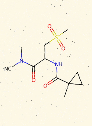 CN(C#N)C(=O)C(CS(C)(=O)=O)NC(=O)C1(C)CC1